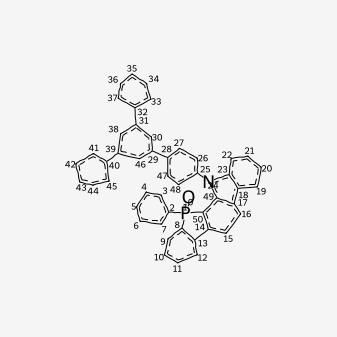 O=P1(c2ccccc2)c2ccccc2-c2ccc3c4ccccc4n(-c4ccc(-c5cc(-c6ccccc6)cc(-c6ccccc6)c5)cc4)c3c21